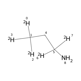 [2H]C([2H])([2H])CC([2H])([2H])N